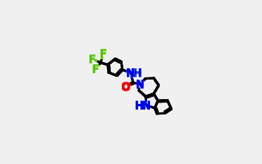 O=C(Nc1ccc(C(F)(F)F)cc1)N1CCCc2c([nH]c3ccccc23)C1